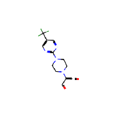 O=C=C(C=O)N1CCN(c2ncc(C(F)(F)F)cn2)CC1